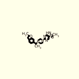 CC1Cc2ccc(C(C)N3CCN(c4ncc(S(C)(=N)=O)cn4)CC3)cc2O1